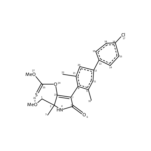 COCC1(C)NC(=O)C(c2c(C)cc(-c3ccc(Cl)cc3)cc2C)=C1OC(=S)OC